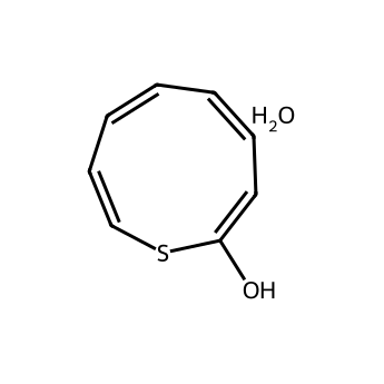 O.Oc1cccccccs1